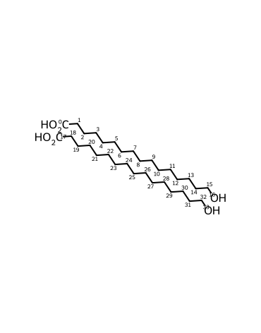 O=C(O)CCCCCCCCCCCCCCCO.O=C(O)CCCCCCCCCCCCCCCO